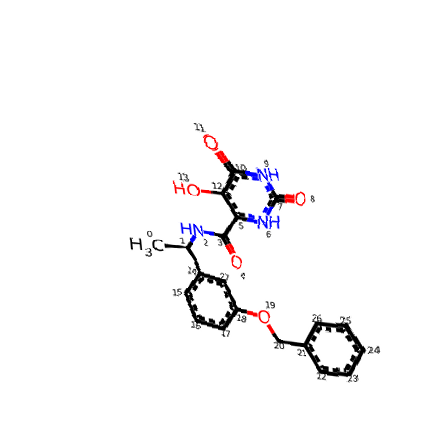 C[C@@H](NC(=O)c1[nH]c(=O)[nH]c(=O)c1O)c1cccc(OCc2ccccc2)c1